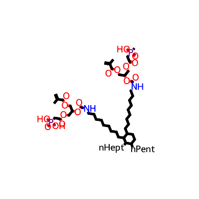 C=C(C)C(=O)OCC(COC(=O)CP(C)(=O)O)OC(=O)NCCCCCCCCCC1CCC(CCCCC)C(CCCCCCC)C1CCCCCCCCCNC(=O)OC(COC(=O)CP(=O)(O)O)COC(=O)C(=C)C